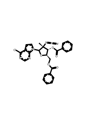 C[C@]1(N=[N+]=[N-])C(n2ccc3c(Cl)ncnc32)O[C@H](COC(=O)c2ccccc2)[C@H]1OC(=O)c1ccccc1